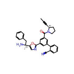 CC#C[C@H]1CCCN1C(=O)c1cc(-c2ncc([C@@](C)(N)Cc3ccccc3)o2)cc(-c2ccccc2C#N)c1